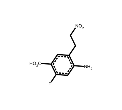 Nc1cc(F)c(C(=O)O)cc1CC[N+](=O)[O-]